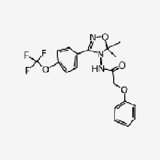 CC1(C)ON=C(c2ccc(OC(F)(F)F)cc2)N1NC(=O)COc1ccccc1